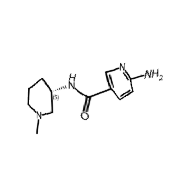 CN1CCC[C@H](NC(=O)c2ccc(N)nc2)C1